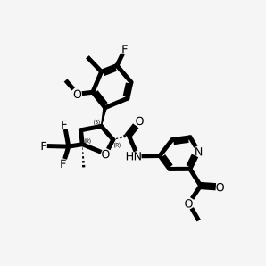 COC(=O)c1cc(NC(=O)[C@@H]2O[C@@](C)(C(F)(F)F)C[C@H]2c2ccc(F)c(C)c2OC)ccn1